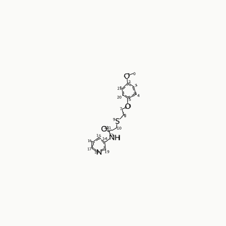 COc1ccc(OCCSCC(=O)Nc2cccnc2)cc1